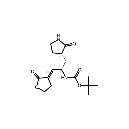 CC(C)(C)OC(=O)N[C@H](/C=C1\CCOC1=O)C[C@@H]1CCNC1=O